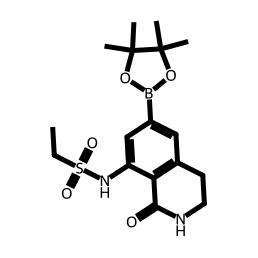 CCS(=O)(=O)Nc1cc(B2OC(C)(C)C(C)(C)O2)cc2c1C(=O)NCC2